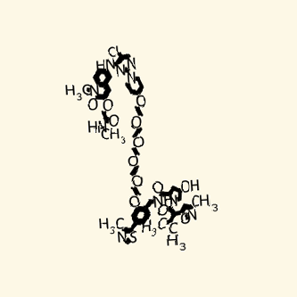 CNC(=O)COc1cc2cc(Nc3nc(N4CCC(OCCOCCOCCOCCOCCOc5cc(-c6scnc6C)ccc5CNC(=O)C5CC(O)CN5C(=O)C(c5cc(C)no5)C(C)C)CC4)ncc3Cl)ccc2n(C)c1=O